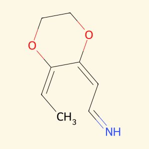 C/C=C1/OCCO/C1=C/C=N